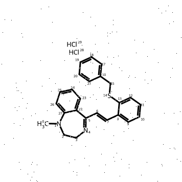 CN1CCN=C(/C=C/c2ccccc2SCc2ccccc2)c2ccccc21.Cl.Cl